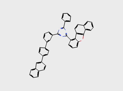 c1ccc(-c2nc(-c3cccc(-c4ccc(-c5ccc6ccccc6c5)cc4)c3)nc(-c3cccc4oc5c6ccccc6ccc5c34)n2)cc1